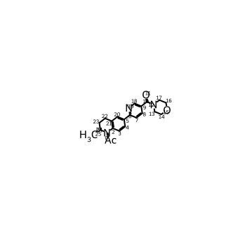 CC(=O)N1c2ccc(-c3ccc(C(=O)N4CCOCC4)cn3)cc2CC[C@@H]1C